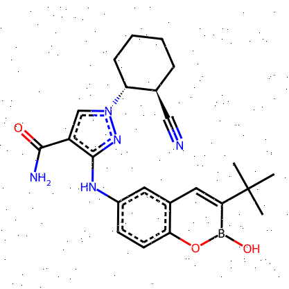 CC(C)(C)C1=Cc2cc(Nc3nn([C@@H]4CCCC[C@H]4C#N)cc3C(N)=O)ccc2OB1O